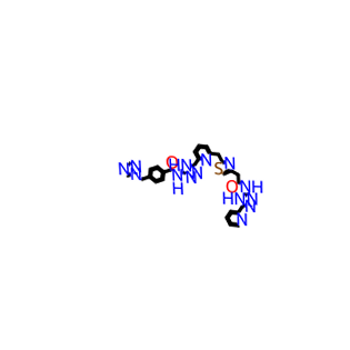 O=C(Cc1csc(Cc2cccc(-c3nnc(NC(=O)c4ccc(Cn5cncn5)cc4)[nH]3)n2)n1)Nc1nnc(-c2ccccn2)[nH]1